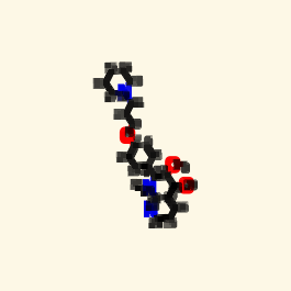 COc1c(-c2ccc(OCCCN3CCCCC3)cc2)n(C)c2ncccc2c1=O